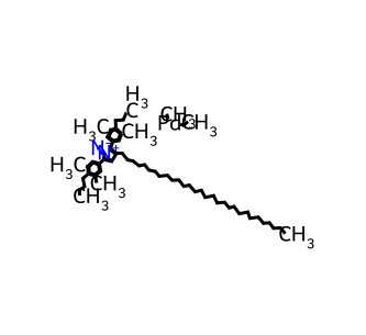 CCCCCCCCCCCCCCCCCCCCCCCCCCCCCCC1=C(c2cc(C)c(CCCC)c(C)c2)[N+](=[N-])C(c2cc(C)c(CCCC)c(C)c2)=C1.C[CH2][Pd][CH2]C